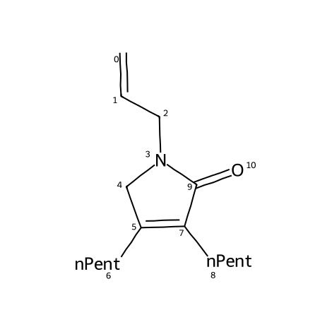 C=CCN1CC(CCCCC)=C(CCCCC)C1=O